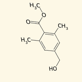 COC(=O)c1c(C)cc(CO)cc1C